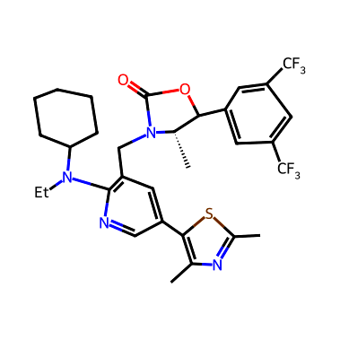 CCN(c1ncc(-c2sc(C)nc2C)cc1CN1C(=O)OC(c2cc(C(F)(F)F)cc(C(F)(F)F)c2)[C@@H]1C)C1CCCCC1